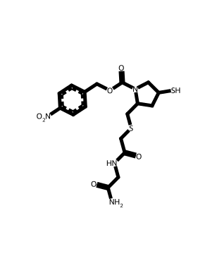 NC(=O)CNC(=O)CSCC1CC(S)CN1C(=O)OCc1ccc([N+](=O)[O-])cc1